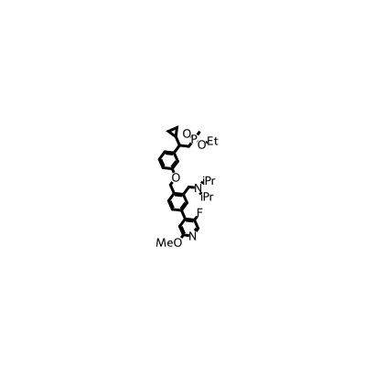 CCOP(C)(=O)CC(c1cccc(OCc2ccc(-c3cc(OC)ncc3F)cc2CN(C(C)C)C(C)C)c1)C1CC1